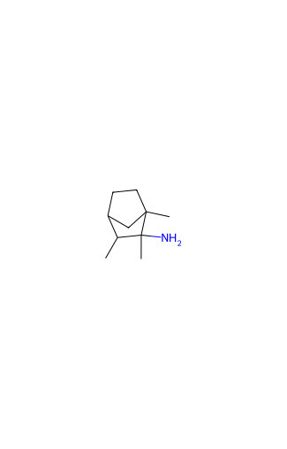 CC1C2CCC(C)(C2)C1(C)N